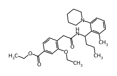 CCCC(NC(=O)Cc1ccc(C(=O)OCC)cc1OCC)c1c(C)cccc1N1CCCCC1